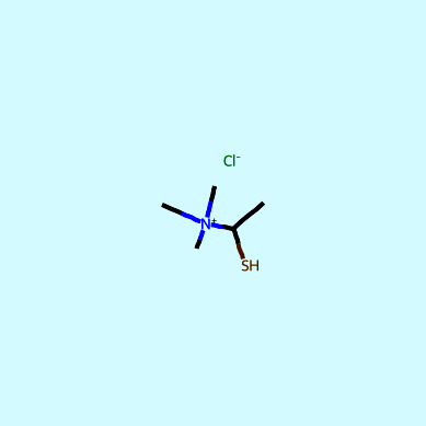 CC(S)[N+](C)(C)C.[Cl-]